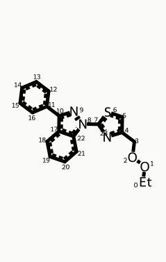 CCOOCc1csc(-n2nc(-c3ccccc3)c3ccccc32)n1